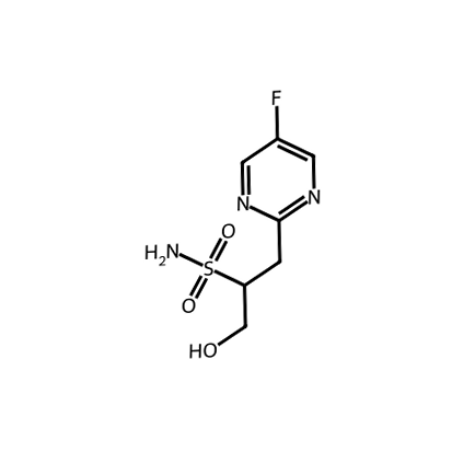 NS(=O)(=O)C(CO)Cc1ncc(F)cn1